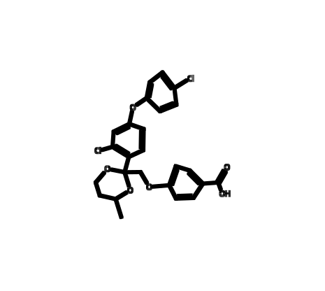 CC1CCOC(COc2ccc(C(=O)O)cc2)(c2ccc(Oc3ccc(Cl)cc3)cc2Cl)O1